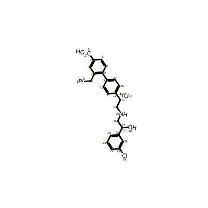 CC(C)Cc1cc(C(=O)O)ccc1-c1ccc(CCNC[C@@H](O)c2cccc(Cl)c2)cc1.Cl